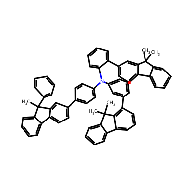 CC1(C)c2ccccc2-c2ccc(-c3ccccc3N(c3ccc(-c4ccc5c(c4)C(C)(c4ccccc4)c4ccccc4-5)cc3)c3cccc(-c4cccc5c4C(C)(C)c4ccccc4-5)c3)cc21